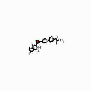 CNC(=O)c1ccc(N2CCC(N3CC4(c5nc6ncc(F)cc6c(=O)[nH]5)CC3C4)CC2)cn1